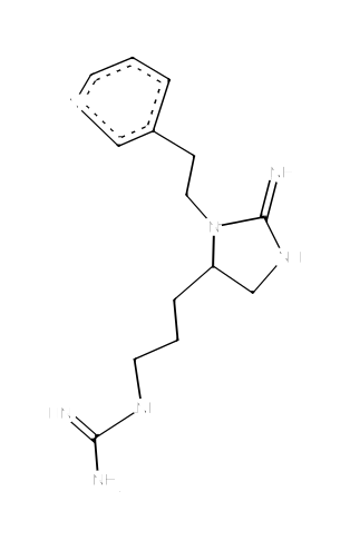 N=C(N)NCCCC1CNC(=N)N1CCc1cccnc1